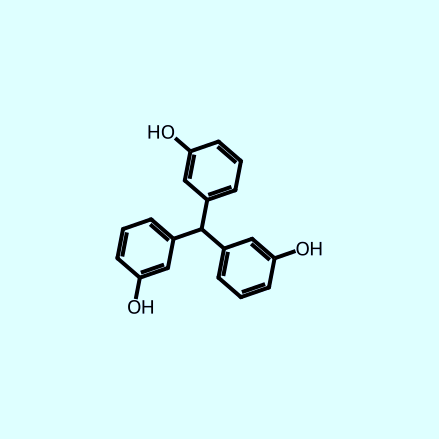 Oc1cccc(C(c2cccc(O)c2)c2cccc(O)c2)c1